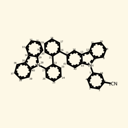 N#Cc1cccc(-n2c3ccccc3c3cc(-c4ccccc4-c4ccccc4-n4c5ccccc5c5ccccc54)ccc32)c1